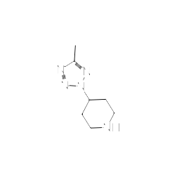 Cc1nnn(C2CCNCC2)n1